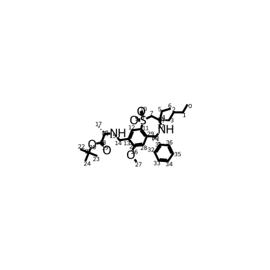 CCCC[C@]1(CC)CS(=O)(=O)c2cc(CN[C@@H](C)C(=O)OC(C)(C)C)c(OC)cc2[C@@H](c2ccccc2)N1